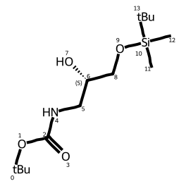 CC(C)(C)OC(=O)NC[C@H](O)CO[Si](C)(C)C(C)(C)C